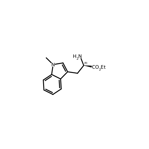 CCOC(=O)[C@H](N)Cc1cn(C)c2ccccc12